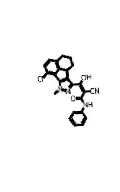 Cn1nc(C(O)=C(C#N)C(=O)Nc2ccccc2)c2c1-c1c(Cl)ccc3c1C2CCC3